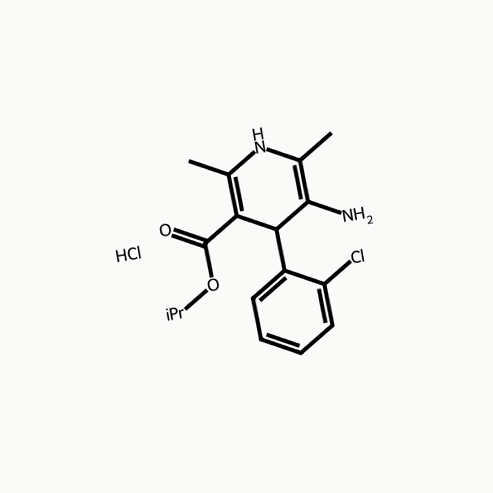 CC1=C(N)C(c2ccccc2Cl)C(C(=O)OC(C)C)=C(C)N1.Cl